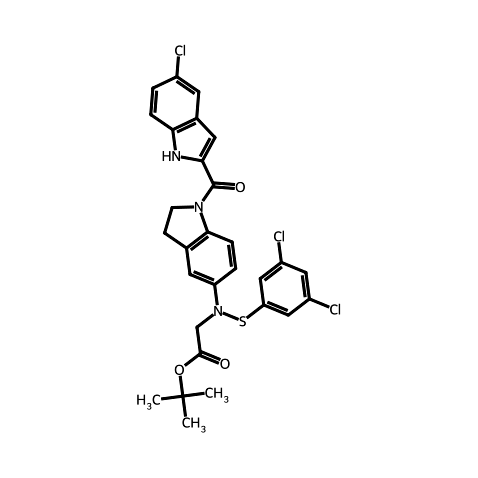 CC(C)(C)OC(=O)CN(Sc1cc(Cl)cc(Cl)c1)c1ccc2c(c1)CCN2C(=O)c1cc2cc(Cl)ccc2[nH]1